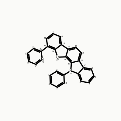 c1ccc(-n2c3ccccc3c3ccc4c5cccc(-c6ccccn6)c5oc4c32)cc1